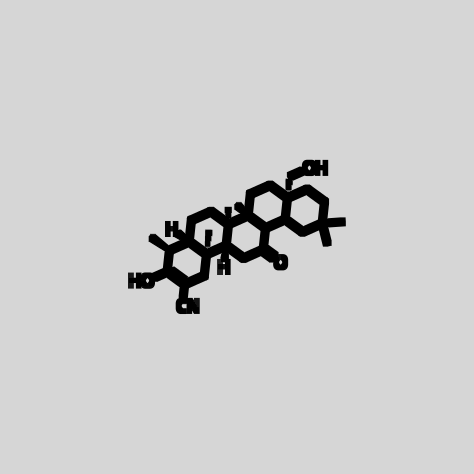 C[C@@H]1C(O)=C(C#N)C[C@]2(C)[C@H]3CC(=O)C4C5CC(C)(C)CC[C@]5(CO)CC[C@@]4(C)[C@]3(C)CC[C@@H]12